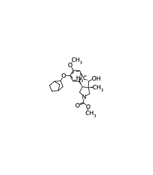 COC(=O)N1C[C@@H](c2ccc(OC)c(OC3CC4CCC3C4)c2)[C@](C)([C@H](C)O)C1